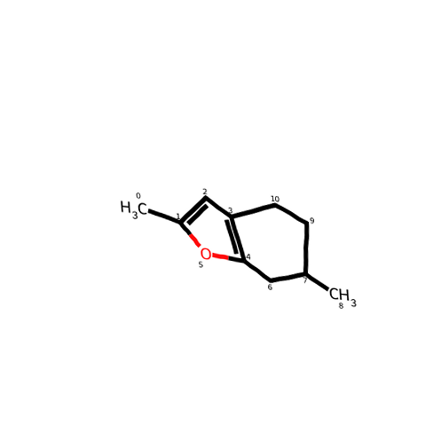 Cc1cc2c(o1)CC(C)CC2